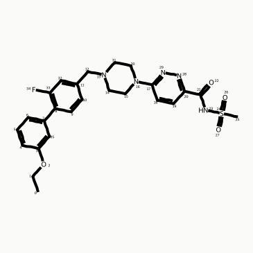 CCOc1cccc(-c2ccc(CN3CCN(c4ccc(C(=O)NS(C)(=O)=O)nn4)CC3)cc2F)c1